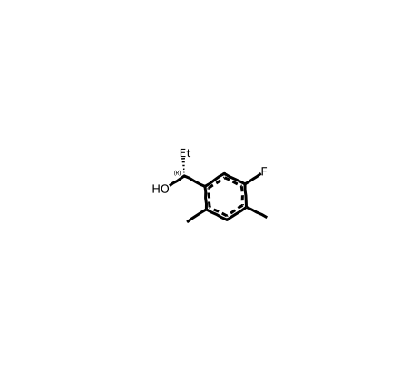 CC[C@@H](O)c1cc(F)c(C)cc1C